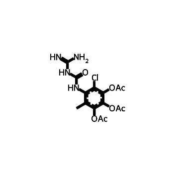 CC(=O)Oc1c(C)c(NC(=O)NC(=N)N)c(Cl)c(OC(C)=O)c1OC(C)=O